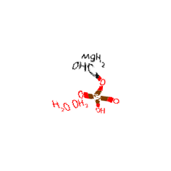 O.O.O=COS(=O)(=O)O.[MgH2]